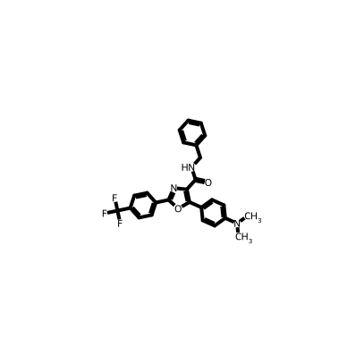 CN(C)c1ccc(-c2oc(-c3ccc(C(F)(F)F)cc3)nc2C(=O)NCc2ccccc2)cc1